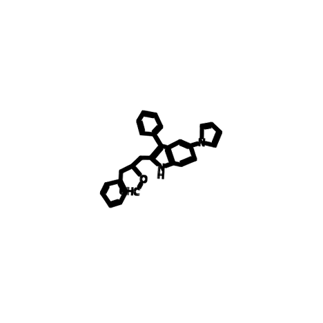 O=COC(Cc1ccccc1)Cc1[nH]c2ccc(-n3cccc3)cc2c1-c1ccccc1